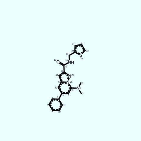 CN(C)c1cc(-c2ccccc2)cc2cc(C(=O)NCc3cccs3)nn12